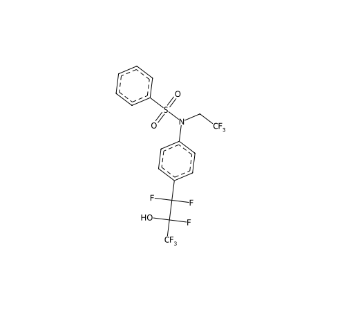 O=S(=O)(c1ccccc1)N(CC(F)(F)F)c1ccc(C(F)(F)C(O)(F)C(F)(F)F)cc1